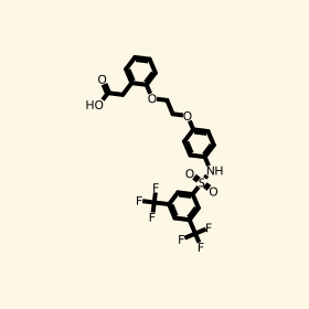 O=C(O)Cc1ccccc1OCCOc1ccc(NS(=O)(=O)c2cc(C(F)(F)F)cc(C(F)(F)F)c2)cc1